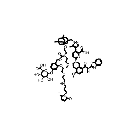 COCCN(CCOC12CC3(C)CC(C)(CC(Cn4ncc(-c5ccc(N6CCc7c(OC)ccc(C(=O)Nc8nc9ccccc9s8)c7C6)nc5C(=O)O)c4C)(C3)C1)C2)C(=O)OCc1ccc(O[C@@H]2O[C@H](C(=O)O)[C@@H](O)[C@H](O)[C@H]2O)cc1OCCOCCNCCCN1C(=O)C=CC1=O